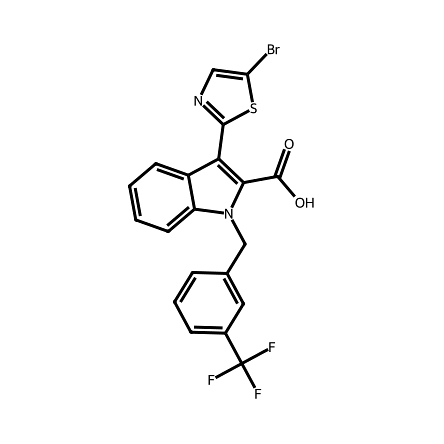 O=C(O)c1c(-c2ncc(Br)s2)c2ccccc2n1Cc1cccc(C(F)(F)F)c1